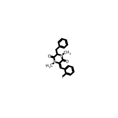 CN1C(=O)C(Cc2ccccc2)N(C)C(=O)/C1=C\c1ccccc1I